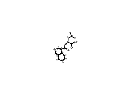 CC(C)C[C@@H](OC(=O)c1cncc2ccccc12)C(=O)O